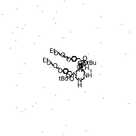 CCOCCOCCOc1ccc(C[C@H](C(=O)OC(C)(C)C)N2CCNCCNCCNCC2)cc1.CCOCCOCCOc1ccc(C[C@H](OS(C)(=O)=O)C(=O)OC(C)(C)C)cc1